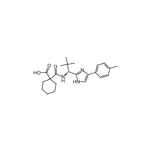 Cc1ccc(-c2c[nH]c([C@@H](NC(=O)C3(C(=O)O)CCCCC3)C(C)(C)C)n2)cc1